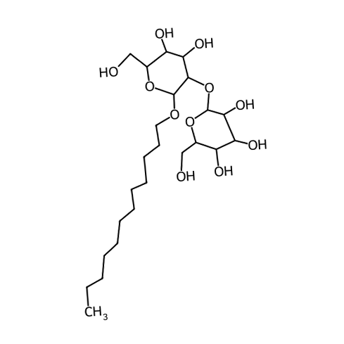 CCCCCCCCCCCCOC1OC(CO)C(O)C(O)C1OC1OC(CO)C(O)C(O)C1O